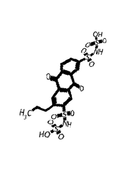 CCCc1cc2c(cc1S(=O)(=O)NS(=O)(=O)O)C(=O)c1cc(S(=O)(=O)NS(=O)(=O)O)ccc1C2=O